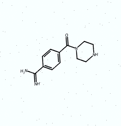 N=C(N)c1ccc(C(=O)N2CCNCC2)cc1